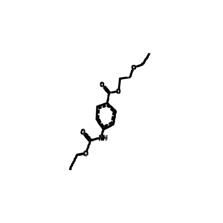 CCOCCOC(=O)c1ccc(NC(=O)OCC)cc1